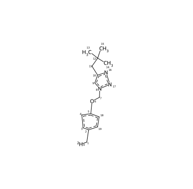 [2H]Cc1ccc(OCn2cc(CC(C)(C)C)nn2)cc1